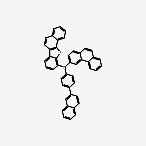 c1ccc2cc(-c3ccc(N(c4ccc5ccc6ccccc6c5c4)c4cccc5c4sc4c6ccccc6ccc54)cc3)ccc2c1